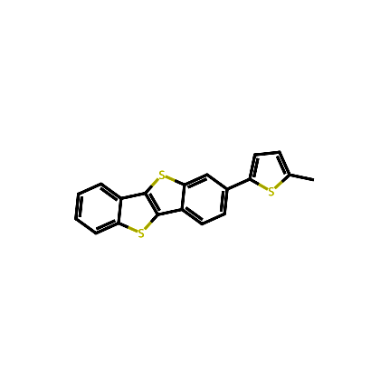 Cc1ccc(-c2ccc3c(c2)sc2c4ccccc4sc32)s1